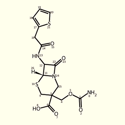 NC(=O)OCC1(C(=O)O)CS[C@@H]2C(NC(=O)Cc3cccs3)C(=O)N2C1